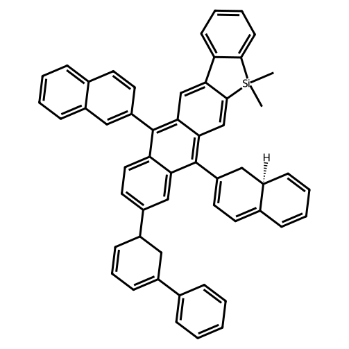 C[Si]1(C)c2ccccc2-c2cc3c(-c4ccc5ccccc5c4)c4ccc(C5C=CC=C(c6ccccc6)C5)cc4c(C4=CC=C5C=CC=C[C@@H]5C4)c3cc21